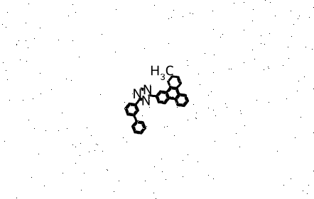 CC1C=Cc2c(c3cc(-c4ncnc(-c5cccc(-c6ccccc6)c5)n4)ccc3c3ccccc23)C1